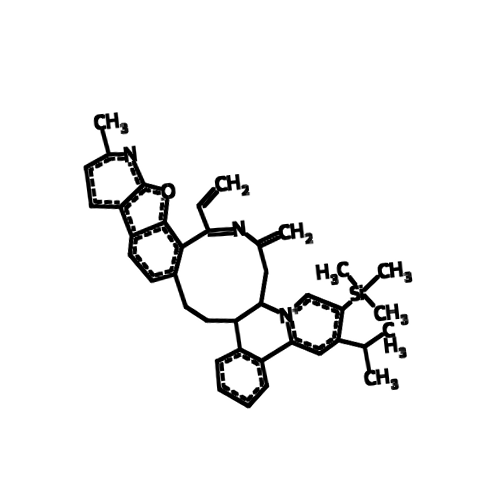 C=C/C1=N/C(=C)CC2C(CCc3ccc4c(oc5nc(C)ccc54)c31)c1ccccc1-c1cc(C(C)C)c([Si](C)(C)C)c[n+]12